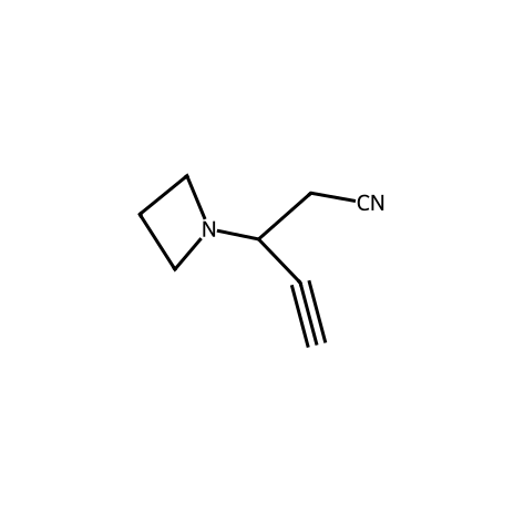 C#CC(CC#N)N1CCC1